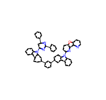 c1ccc(-c2cc(-n3c4ccccc4c4ccc(-c5cccc(-c6ccc7c(c6)c6ccccc6n7-c6ccc7oc8cccnc8c7n6)c5)cc43)nc(-c3ccccc3)n2)cc1